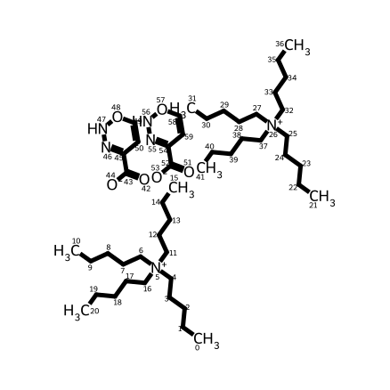 CCCCC[N+](CCCCC)(CCCCC)CCCCC.CCCCC[N+](CCCCC)(CCCCC)CCCCC.O=C([O-])C1=NNOC=C1.O=C([O-])C1=NNOC=C1